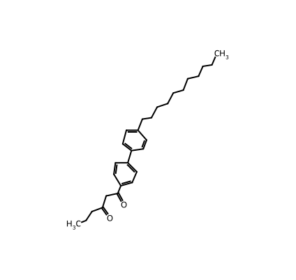 CCCCCCCCCCCc1ccc(-c2ccc(C(=O)CC(=O)CCC)cc2)cc1